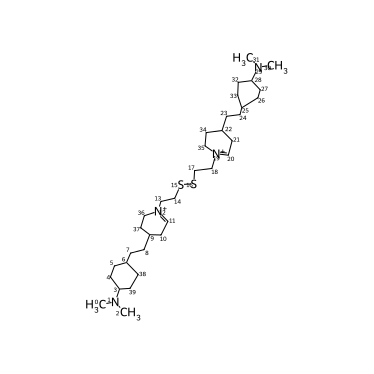 CN(C)C1CCC(CCC2CC=[N+](CCSSCC[N+]3=CCC(CCC4CCC(N(C)C)CC4)CC3)CC2)CC1